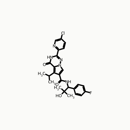 CC(C)c1c(C(=O)NC(c2ccc(F)cc2)C(C)(C)O)cn2nc(-c3ccc(Cl)cn3)[nH]c(=O)c12